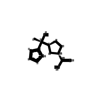 C[C@@](O)(c1nccs1)[C@@H]1CC[C@H](C(=O)O)C1